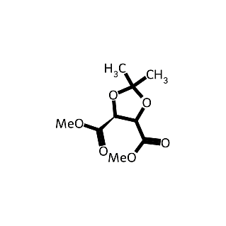 COC(=O)C1OC(C)(C)O[C@@H]1C(=O)OC